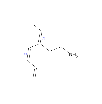 C=C/C=C\C(=C/C)CCN